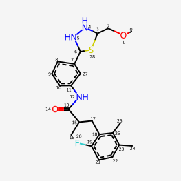 COCC1NNC(c2cccc(NC(=O)C(C)Cc3c(F)ccc(C)c3C)c2)S1